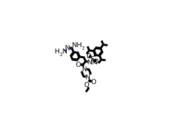 CCOC(=O)N1CCN(C(=O)C(Cc2cccc(/C(N)=N\N)c2)NS(=O)(=O)c2c(C(C)C)cc(C(C)C)cc2C(C)C)CC1